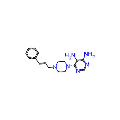 Nc1ncnc(N2CCN(C/C=C/c3ccccc3)CC2)c1N